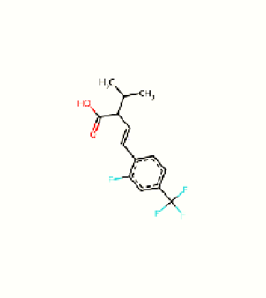 CC(C)C(/C=C/c1ccc(C(F)(F)F)cc1F)C(=O)O